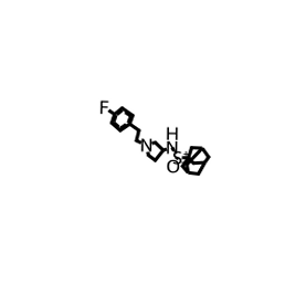 [O-][S+](NC1CCN(CCc2ccc(F)cc2)C1)C12CC3CC(CC(C3)C1)C2